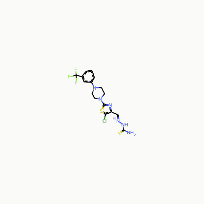 NC(=S)N/N=C/c1nc(N2CCN(c3cccc(C(F)(F)F)c3)CC2)sc1Cl